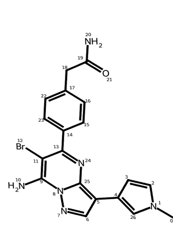 Cn1ccc(-c2cnn3c(N)c(Br)c(-c4ccc(CC(N)=O)cc4)nc23)c1